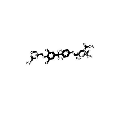 CC(=O)O[C@H](CCl)COc1c(Cl)cc(C(C)(C)c2ccc(OC[C@H](C)CN(C(C)=O)S(C)(=O)=O)cc2)cc1Cl